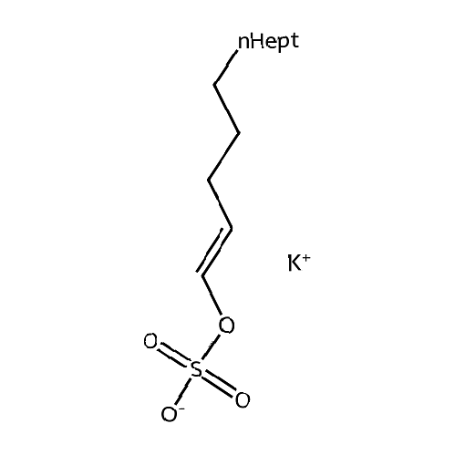 CCCCCCCCCC/C=C/OS(=O)(=O)[O-].[K+]